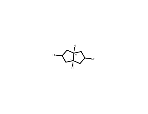 CCC1C[C@H]2CC(O)C[C@H]2C1